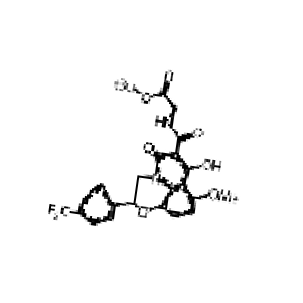 COc1ccc2c3c1c(O)c(C(=O)NCC(=O)OC(C)(C)C)c(=O)n3CC(c1ccc(C(F)(F)F)cc1)O2